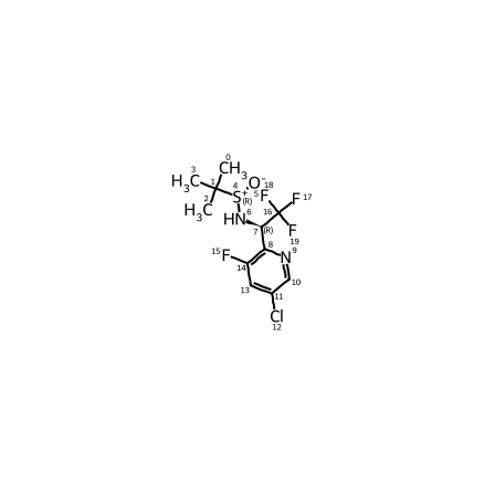 CC(C)(C)[S@+]([O-])N[C@H](c1ncc(Cl)cc1F)C(F)(F)F